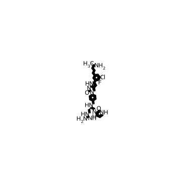 C[C@H](N)CCCc1cc(Cl)c(F)c(-c2cc3cn(-c4ccc(CN[C@H](CCNC(=N)N)CNc5ccc[nH]c5=O)cc4)c(=O)nc3[nH]2)c1